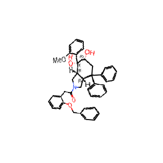 COc1ccccc1[C@@]1(O)[C@H](O)CC(c2ccccc2)(c2ccccc2)[C@@H]2CN(C(=O)Cc3ccccc3OCc3ccccc3)C[C@@H]21